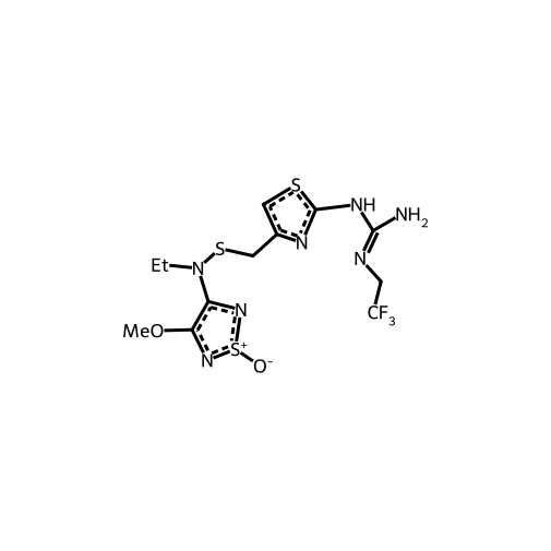 CCN(SCc1csc(NC(N)=NCC(F)(F)F)n1)c1n[s+]([O-])nc1OC